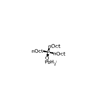 CCCCCCCCP(=O)(CCCCCCCC)CCCCCCCC.[PbH2]